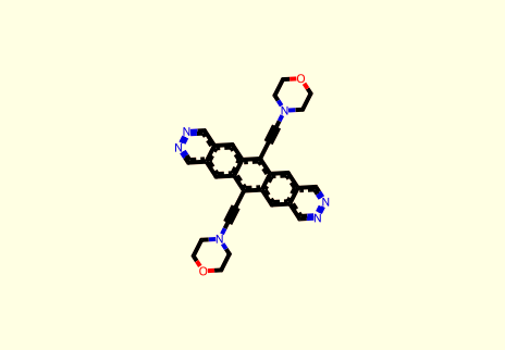 C(#CN1CCOCC1)c1c2cc3cnncc3cc2c(C#CN2CCOCC2)c2cc3cnncc3cc12